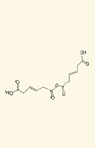 O=C(O)CC=CCC(=O)OC(=O)CC=CCC(=O)O